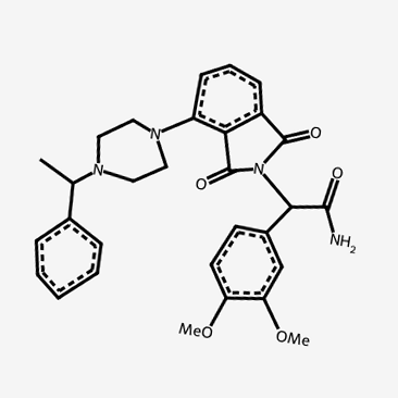 COc1ccc(C(C(N)=O)N2C(=O)c3cccc(N4CCN(C(C)c5ccccc5)CC4)c3C2=O)cc1OC